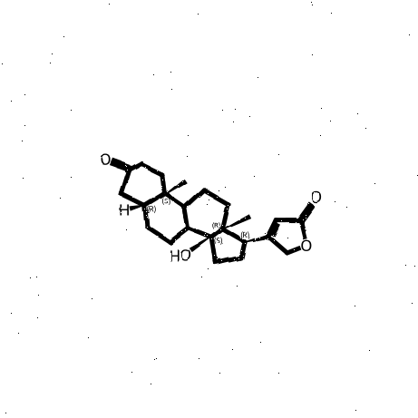 C[C@]12CCC(=O)C[C@H]1CCC1C2CC[C@]2(C)[C@@H](C3=CC(=O)OC3)CC[C@]12O